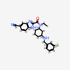 CCN(C(=O)c1nc2cc(C#N)ccc2[nH]1)C1CCCC(NCc2cccc(F)c2)C1